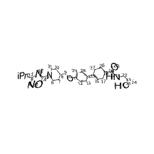 CC(C)c1noc(N2CCC(COc3ccc(C4=CCC(C(=O)NC[C@H](C)O)CC4)cc3)CC2)n1